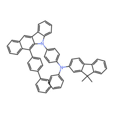 CC1(C)c2ccccc2-c2ccc(N(c3ccccc3)c3ccc(-n4c5ccccc5c5cc6ccccc6c(-c6ccc(-c7ccccc7)cc6)c54)cc3)cc21